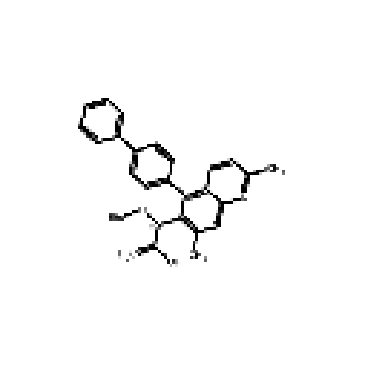 C=C(O)[C@@H](OC(C)(C)C)c1c(C)cc2nc(C)ccc2c1-c1ccc(-c2ccccc2)cc1